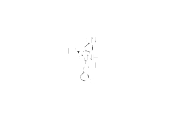 N#Cc1ccc(NC(=O)NCc2cccc(Cl)c2)c(N=N)c1